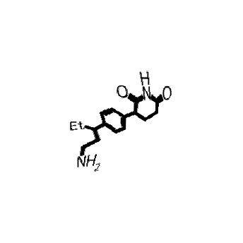 CCC(CCN)c1ccc(C2CCC(=O)NC2=O)cc1